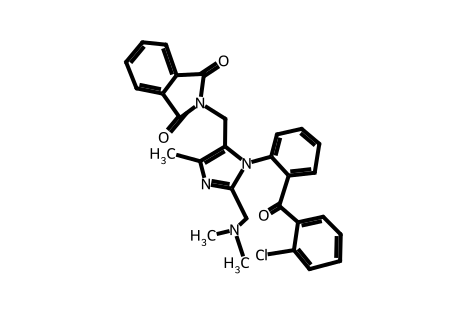 Cc1nc(CN(C)C)n(-c2ccccc2C(=O)c2ccccc2Cl)c1CN1C(=O)c2ccccc2C1=O